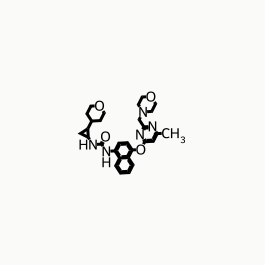 Cc1cc(Oc2ccc(NC(=O)NC3CC3C3CCOCC3)c3ccccc23)nc(CN2CCOCC2)n1